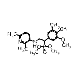 COc1cc(C(CNc2ccc(C)nc2C)P(=O)(OC)OC)cc(C)c1O